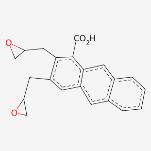 O=C(O)c1c(CC2CO2)c(CC2CO2)cc2cc3ccccc3cc12